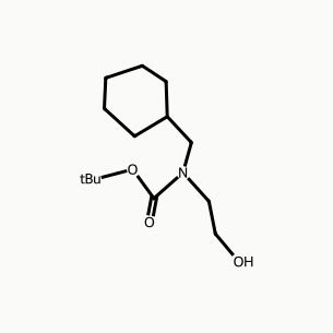 CC(C)(C)OC(=O)N(CCO)CC1CCCCC1